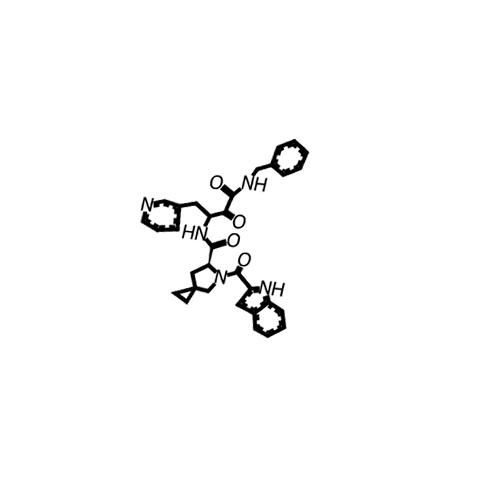 O=C(NCc1ccccc1)C(=O)C(Cc1cccnc1)NC(=O)[C@@H]1CC2(CC2)CN1C(=O)c1cc2ccccc2[nH]1